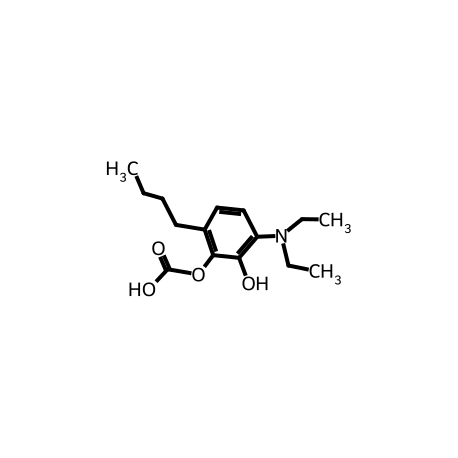 CCCCc1ccc(N(CC)CC)c(O)c1OC(=O)O